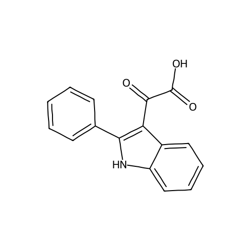 O=C(O)C(=O)c1c(-c2ccccc2)[nH]c2ccccc12